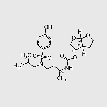 CC(C)CN(CC[C@H](C)NC(=O)O[C@@H]1CO[C@@H]2OCC[C@@H]21)S(=O)(=O)c1ccc(O)cc1